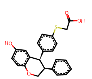 O=C(O)CSc1ccc([C@@H]2c3cc(O)ccc3OC[C@@H]2c2ccccc2)cc1